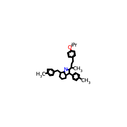 Cc1ccc(CC2CCCC3C2=NC(C(C)CCc2ccc(OC(C)C)cc2)C3c2ccc(C)cc2)cc1